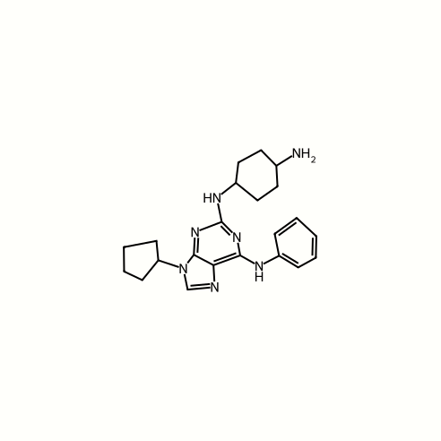 NC1CCC(Nc2nc(Nc3ccccc3)c3ncn(C4CCCC4)c3n2)CC1